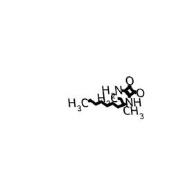 CCCCCCCC(C)(CC)Nc1c(N)c(=O)c1=O